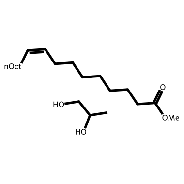 CC(O)CO.CCCCCCCC/C=C\CCCCCCCC(=O)OC